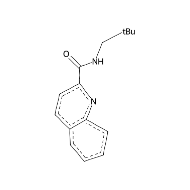 CC(C)(C)CNC(=O)c1ccc2ccccc2n1